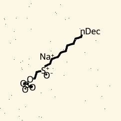 CCCCCCCCCCCCCCCCCCCC[S+]([O-])CCOS(=O)(=O)[O-].[Na+]